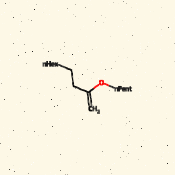 C=C(CCCCCCCC)OCCCCC